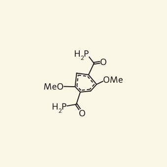 COc1cc(C(=O)P)c(OC)cc1C(=O)P